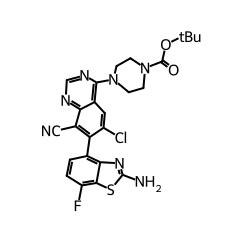 CC(C)(C)OC(=O)N1CCN(c2ncnc3c(C#N)c(-c4ccc(F)c5sc(N)nc45)c(Cl)cc23)CC1